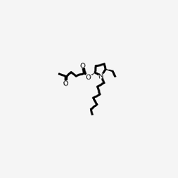 CCCCCCCN1[C@H](CC)CC[C@H]1OC(=O)CCC(C)=O